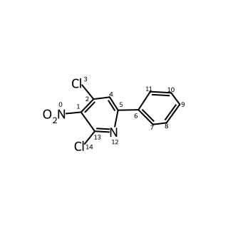 O=[N+]([O-])c1c(Cl)cc(-c2ccccc2)nc1Cl